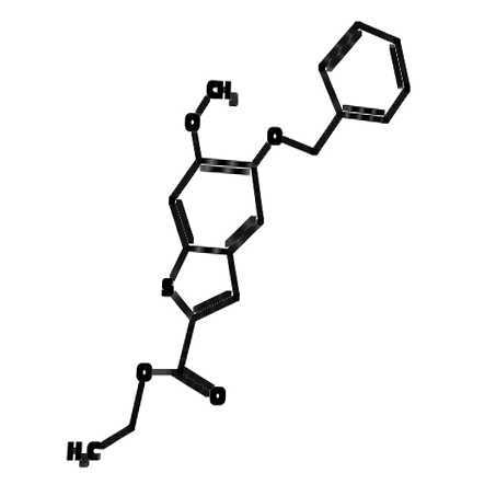 CCOC(=O)c1cc2cc(OCc3ccccc3)c(OC)cc2s1